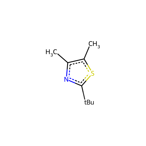 Cc1nc(C(C)(C)C)sc1C